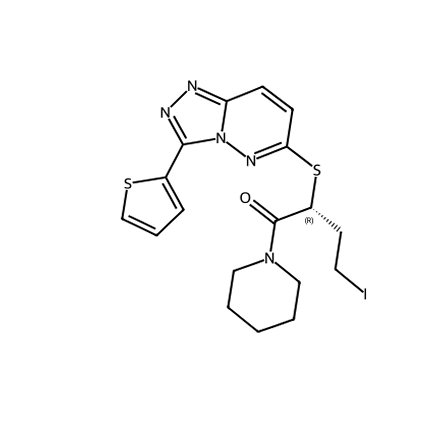 O=C([C@@H](CCI)Sc1ccc2nnc(-c3cccs3)n2n1)N1CCCCC1